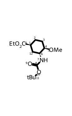 CCOC(=O)[C@H]1CC[C@@H](OC)[C@H](NC(=O)OC(C)(C)C)C1